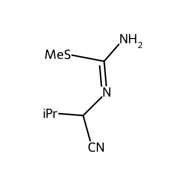 CS/C(N)=N\C(C#N)C(C)C